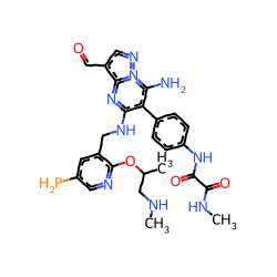 CNCC(C)Oc1ncc(P)cc1CNc1nc2c(C=O)cnn2c(N)c1-c1ccc(NC(=O)C(=O)NC)cc1